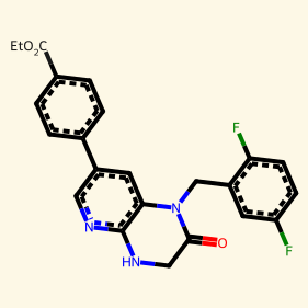 CCOC(=O)c1ccc(-c2cnc3c(c2)N(Cc2cc(F)ccc2F)C(=O)CN3)cc1